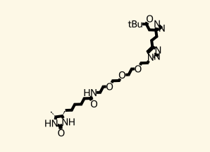 C[C@H]1NC(=O)N[C@H]1CCCCCC(=O)NCCOCCOCCOCCn1cc(CCC2(CC(=O)C(C)(C)C)N=N2)nn1